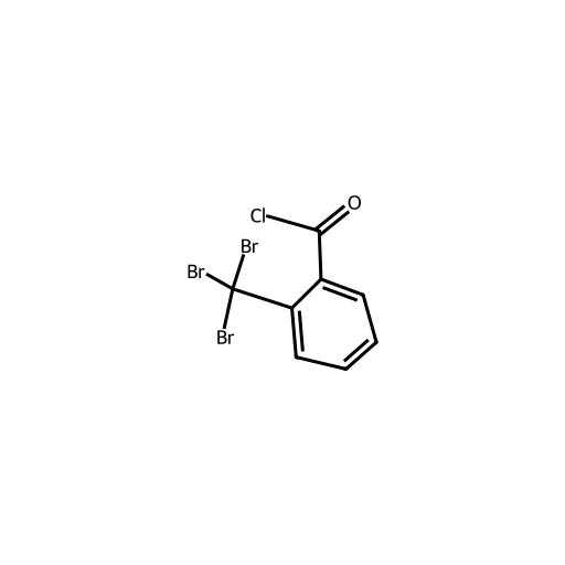 O=C(Cl)c1ccccc1C(Br)(Br)Br